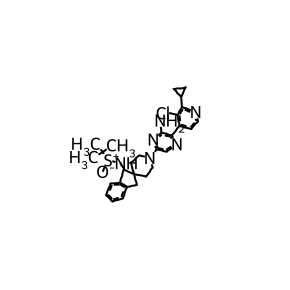 CC(C)(C)[S+]([O-])N[C@@H]1c2ccccc2CC12CCN(c1cnc(-c3ccnc(C4CC4)c3Cl)c(N)n1)CC2